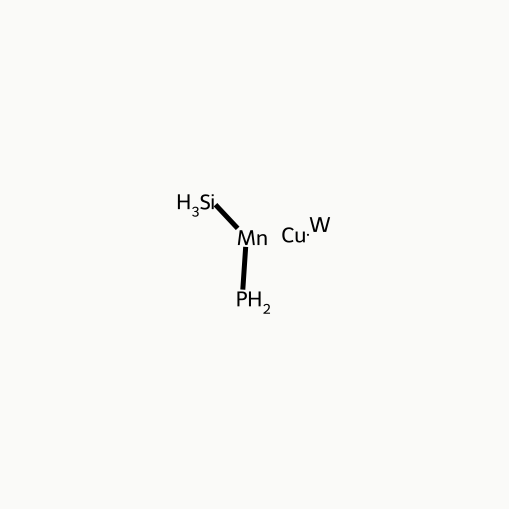 [Cu].[SiH3][Mn][PH2].[W]